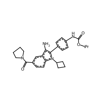 CC(C)OC(=O)Nc1ccc(-c2c(N)c3cc(C(=O)N4CCCC4)ccc3n2C2CCC2)cc1